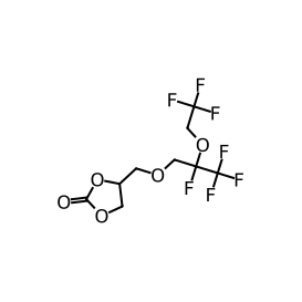 O=C1OCC(COCC(F)(OCC(F)(F)F)C(F)(F)F)O1